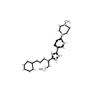 CN1CCN(c2ccc(-c3noc([C@H](CCCC4CCCCC4)CC(=O)O)n3)cn2)CC1